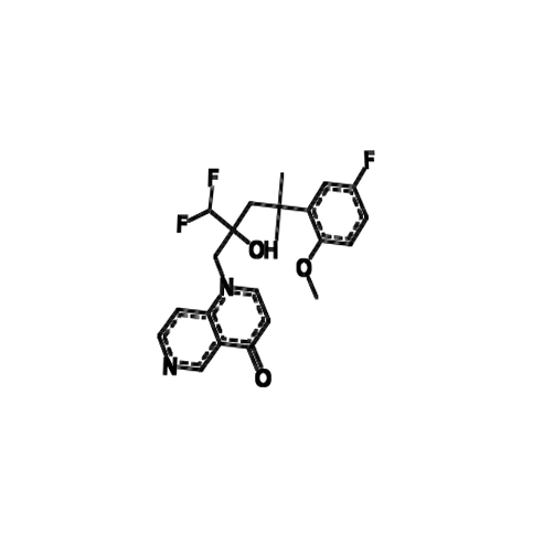 COc1ccc(F)cc1C(C)(C)CC(O)(Cn1ccc(=O)c2cnccc21)C(F)F